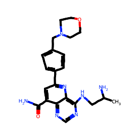 CC(N)CNc1ncnc2c(C(N)=O)cc(-c3ccc(CN4CCOCC4)cc3)nc12